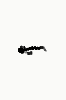 CCCCCCCCCCCC(I)Cc1ccccc1C.[NaH]